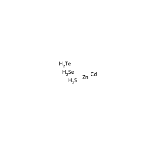 S.[Cd].[SeH2].[TeH2].[Zn]